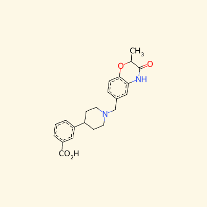 CC1Oc2ccc(CN3CCC(c4cccc(C(=O)O)c4)CC3)cc2NC1=O